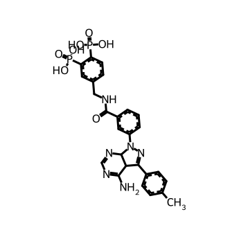 Cc1ccc(C2=NN(c3cccc(C(=O)NCc4ccc(P(=O)(O)O)c(P(=O)(O)O)c4)c3)C3N=CN=C(N)C23)cc1